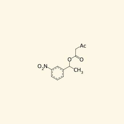 CC(=O)CC(=O)OC(C)c1cccc([N+](=O)[O-])c1